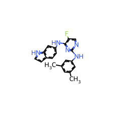 Cc1cc(C)cc(Nc2ncc(F)c(Nc3ccc4cc[nH]c4c3)n2)c1